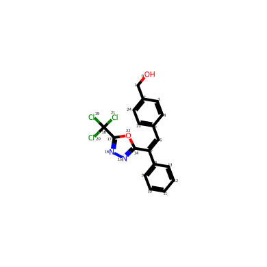 OCc1ccc(C=C(c2ccccc2)c2nnc(C(Cl)(Cl)Cl)o2)cc1